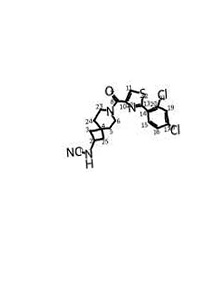 N#CNC1CC2(CCN(C(=O)c3csc(-c4ccc(Cl)cc4Cl)n3)CC2)C1